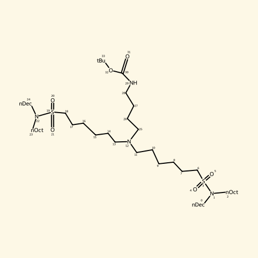 CCCCCCCCCCN(CCCCCCCC)S(=O)(=O)CCCCCCN(CCCCCCS(=O)(=O)N(CCCCCCCC)CCCCCCCCCC)CCCCNC(=O)OC(C)(C)C